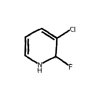 F[C]1NC=CC=C1Cl